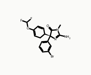 CN1C(=O)[C@](c2cccc(Br)c2)(C2C=CC(OC(F)F)=CC2)N=C1N